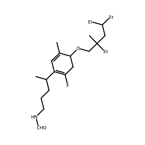 CCC(CC)CC(C)(CC)COC1CC(F)=C(C(C)CCCNC=O)C=C1C